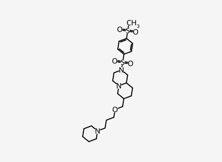 CS(=O)(=O)c1ccc(S(=O)(=O)N2CCN3CC(COCCCN4CCCCC4)CCC3C2)cc1